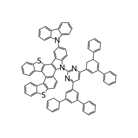 C1=CCC(c2cc(-c3ccccc3)cc(-c3cc(C4=CC(c5ccccc5)=CC(c5ccccc5)C4)nc(-n4c5ccc(-n6c7ccccc7c7ccccc76)cc5c5c6sc7ccccc7c6c6c(ccc7sc8ccccc8c76)c54)n3)c2)C=C1